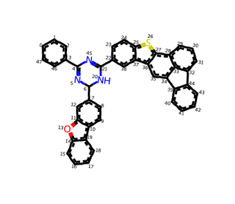 c1ccc(C2=NC(c3ccc4c(c3)oc3ccccc34)NC(c3ccc4sc5c6cccc7c6c(cc5c4c3)-c3ccccc3-7)=N2)cc1